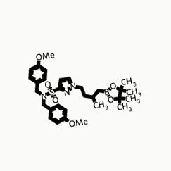 COc1ccc(CN(Cc2ccc(OC)cc2)S(=O)(=O)c2ccn(CCC(C)CB3OC(C)(C)C(C)(C)O3)n2)cc1